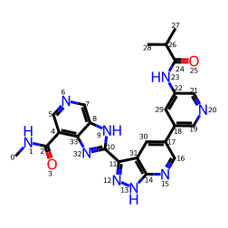 CNC(=O)c1cncc2[nH]c(-c3n[nH]c4ncc(-c5cncc(NC(=O)C(C)C)c5)cc34)nc12